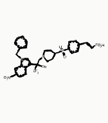 O=C(O)C=Cc1ccc(S(=O)(=O)C2CCN(CC(O)(c3cn(Cc4ccccc4)c4cc([N+](=O)[O-])ccc34)C(F)(F)F)CC2)cc1